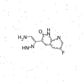 N=N/C(=C\N)c1cc2cc(F)cnc2[nH]c1=O